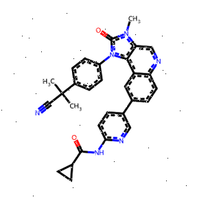 Cn1c(=O)n(-c2ccc(C(C)(C)C#N)cc2)c2c3cc(-c4ccc(NC(=O)C5CC5)nc4)ccc3ncc21